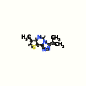 Cc1csc2c1ncn1c(C(C)C)nnc21